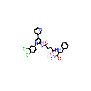 NC(=O)[C@H](Cc1ccccc1)NC(=O)CCC(=O)Nc1cc(-c2cccnc2)cn1-c1ccc(Cl)c(Cl)c1